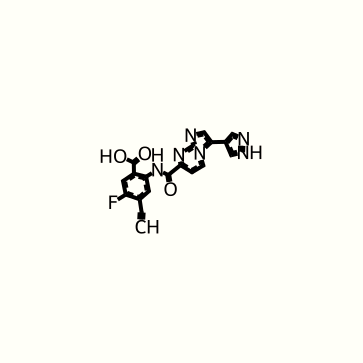 C#Cc1cc(NC(=O)c2ccn3c(-c4cn[nH]c4)cnc3n2)c(C(=O)O)cc1F